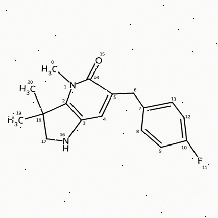 Cn1c2c(cc(Cc3ccc(F)cc3)c1=O)NCC2(C)C